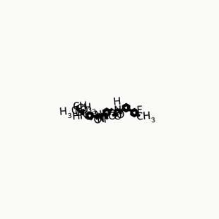 Cc1ccc(-c2cccc(C(=O)N[C@H](Cc3ccc(-c4noc(-c5ccc(NC(=O)OC(C)(C)C)cc5)n4)c(F)c3)C(=O)O)c2)cc1F